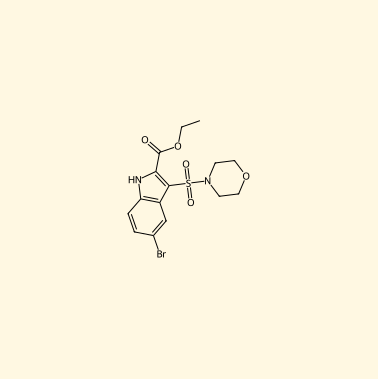 CCOC(=O)c1[nH]c2ccc(Br)cc2c1S(=O)(=O)N1CCOCC1